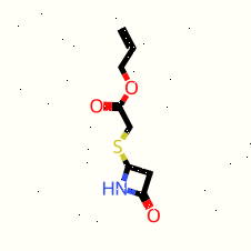 C=CCOC(=O)CSC1CC(=O)N1